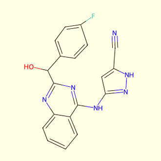 N#Cc1cc(Nc2nc(C(O)c3ccc(F)cc3)nc3ccccc23)n[nH]1